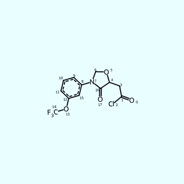 O=C(Cl)CC1OCN(c2cccc(OC(F)(F)F)c2)C1=O